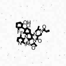 C=CC(=O)N1CC2C(=O)N(C3COC3)c3c(c4cc(Cl)c(-c5c(O)cccc5F)c(F)c4n(-c4c(C)ccnc4C(C)C)c3=O)N2CC1C